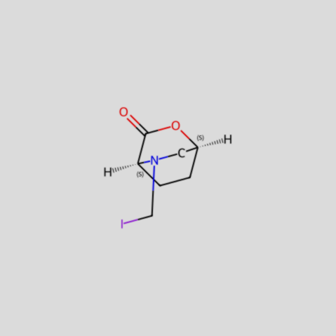 O=C1O[C@H]2CC[C@@H]1N(CI)C2